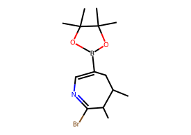 CC1CC(B2OC(C)(C)C(C)(C)O2)=CN=C(Br)C1C